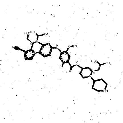 CC[C@@H]1c2c(C#N)ncn2-c2cnc(Nc3cc(F)c(C(=O)NC4CCN(C5CCNCC5)[C@H](CC(C)C)C4)cc3OC)nc2N1C(C)C